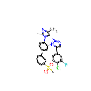 Cc1nc(C(F)(F)F)cn1-c1ccc(-c2cccc(S(C)(=O)=O)c2)cc1-n1nncc1-c1ccc(Cl)c(F)c1